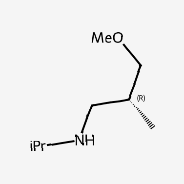 COC[C@H](C)CNC(C)C